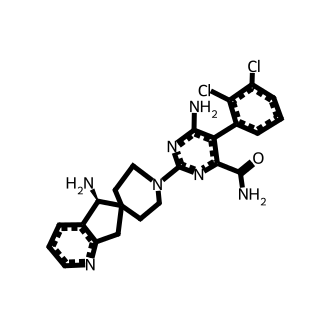 NC(=O)c1nc(N2CCC3(CC2)Cc2ncccc2[C@H]3N)nc(N)c1-c1cccc(Cl)c1Cl